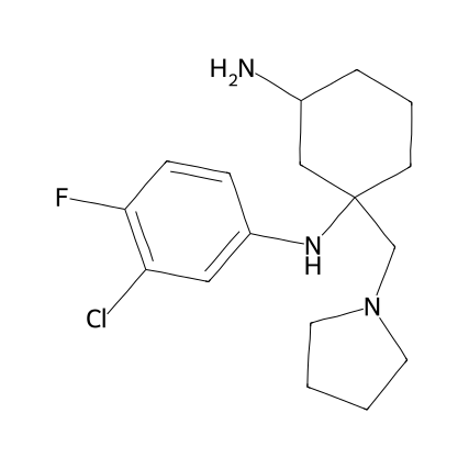 NC1CCCC(CN2CCCC2)(Nc2ccc(F)c(Cl)c2)C1